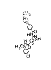 CCN1CCN(c2ccc(C(=O)Nc3n[nH]c4sc(C(=O)NN(C)c5ccc(Cl)cc5)cc34)cc2)CC1